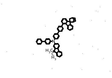 CC1(C)c2ccccc2-c2ccc(N(c3ccc(-c4ccccc4)cc3)c3ccc(-c4ccc(-c5cccc6c5-c5ccccc5C65CC6CCC5C6)cc4)cc3)cc21